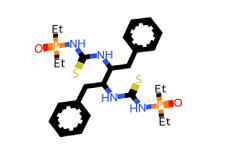 CCP(=O)(CC)NC(=S)NC(Cc1ccccc1)C(Cc1ccccc1)NC(=S)NP(=O)(CC)CC